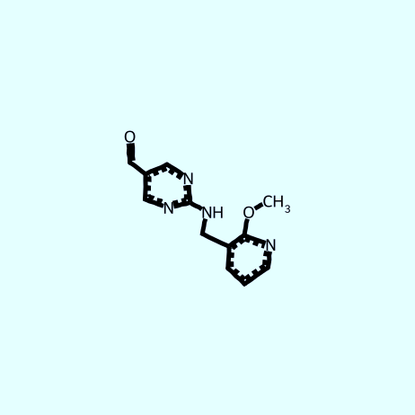 COc1ncccc1CNc1ncc(C=O)cn1